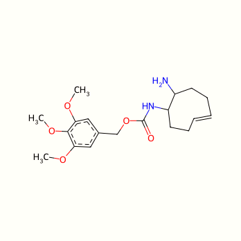 COc1cc(COC(=O)NC2CC/C=C/CCC2N)cc(OC)c1OC